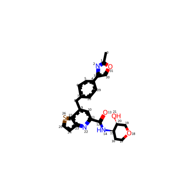 Cc1nc(-c2ccc(Cc3cc(C(=O)N[C@@H]4CCOC[C@H]4O)nc4ccsc34)cc2)co1